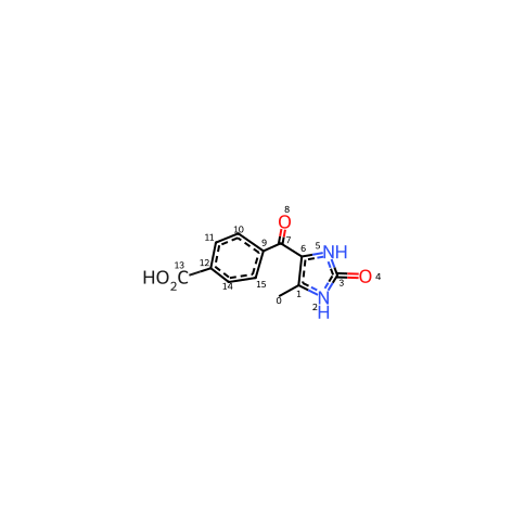 Cc1[nH]c(=O)[nH]c1C(=O)c1ccc(C(=O)O)cc1